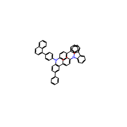 c1ccc(-c2ccc(N(c3ccc(-c4cccc5ccccc45)cc3)c3ccc(-c4ccccc4)cc3-c3ccc(-n4c5ccccc5c5ccccc54)cc3)cc2)cc1